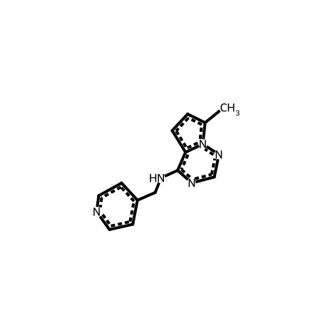 Cc1ccc2c(NCc3ccncc3)ncnn12